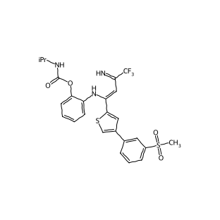 CC(C)NC(=O)Oc1ccccc1N/C(=C\C(=N)C(F)(F)F)c1cc(-c2cccc(S(C)(=O)=O)c2)cs1